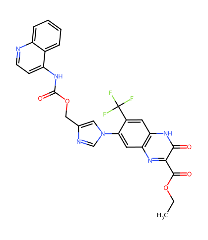 CCOC(=O)c1nc2cc(-n3cnc(COC(=O)Nc4ccnc5ccccc45)c3)c(C(F)(F)F)cc2[nH]c1=O